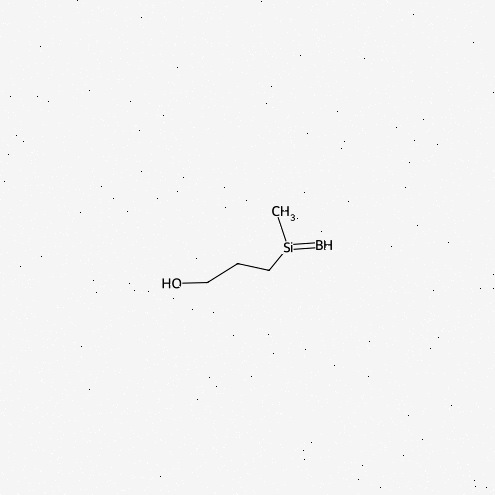 B=[Si](C)CCCO